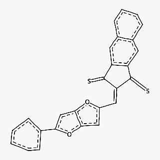 S=C1C(=Cc2cc3oc(-c4ccccc4)cc3o2)C(=S)c2cc3ccccc3cc21